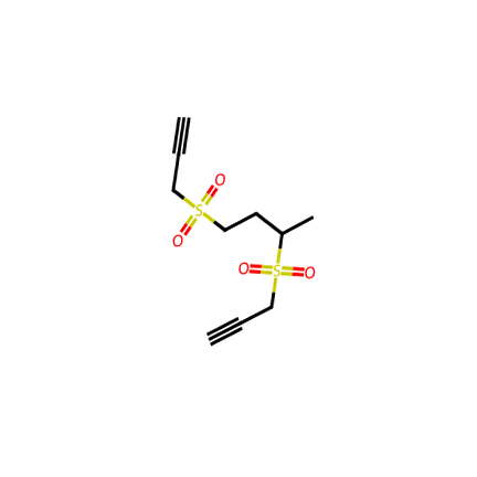 C#CCS(=O)(=O)CCC(C)S(=O)(=O)CC#C